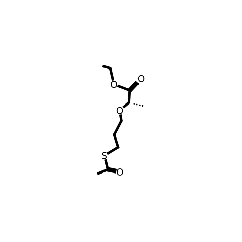 CCOC(=O)[C@H](C)OCCCSC(C)=O